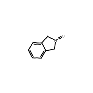 O=[N+]1[CH]c2ccccc2C1